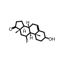 C[C@]12CCC(O)CC1=CC[C@@H]1[C@H]2C(F)C[C@]2(C)C(=O)CC[C@@H]12